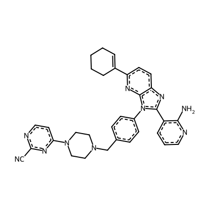 N#Cc1nccc(N2CCN(Cc3ccc(-n4c(-c5cccnc5N)nc5ccc(C6=CCCCC6)nc54)cc3)CC2)n1